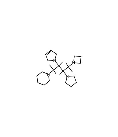 CC(C)(N1CCCCC1)C(C)(N1CC=CC1)C(C)(N1CCCC1)C(C)(C)N1CCC1